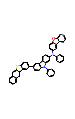 c1ccc(N(c2ccc3oc4ccccc4c3c2)c2ccc3c4cc(-c5ccc6sc7cc8ccccc8cc7c6c5)ccc4n(-c4ccccc4)c3c2)cc1